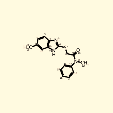 Cc1ccc2nc(SCC(=O)N(C)c3ccccc3)[nH]c2c1